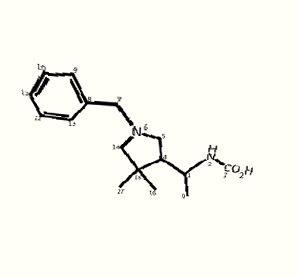 CC(NC(=O)O)C1CN(Cc2ccccc2)CC1(C)C